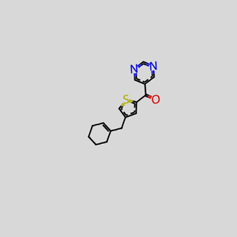 O=C(c1cncnc1)c1cc(CC2=CCCCC2)cs1